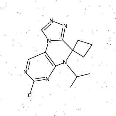 CC(C)N1c2nc(Cl)ncc2-n2cnnc2C12CCC2